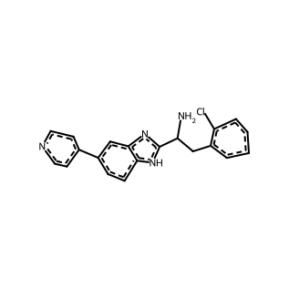 NC(Cc1ccccc1Cl)c1nc2cc(-c3ccncc3)ccc2[nH]1